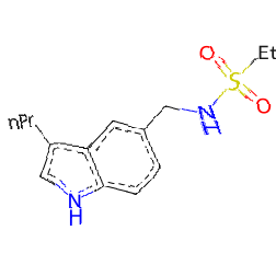 [CH2]CCc1c[nH]c2ccc(CNS(=O)(=O)CC)cc12